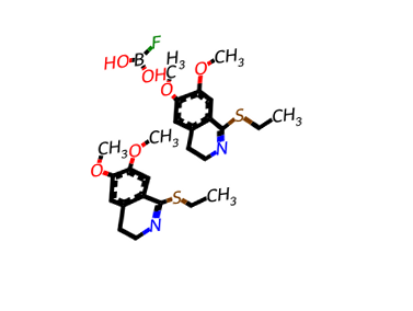 CCSC1=NCCc2cc(OC)c(OC)cc21.CCSC1=NCCc2cc(OC)c(OC)cc21.OB(O)F